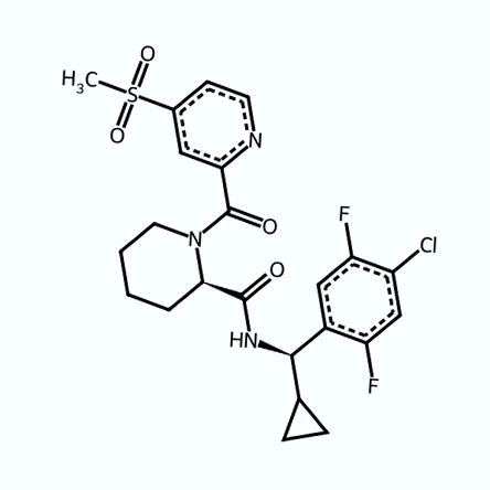 CS(=O)(=O)c1ccnc(C(=O)N2CCCC[C@@H]2C(=O)N[C@@H](c2cc(F)c(Cl)cc2F)C2CC2)c1